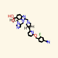 CCn1cncc1Cn1c(CN2C[C@@H]3C(c4cccc(OCc5ccc(C#N)cc5F)n4)[C@@H]3C2)nc2ccc(C(=O)O)cc21